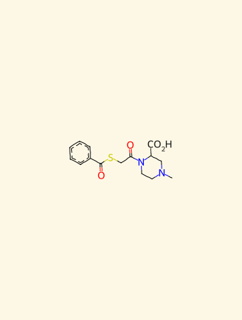 CN1CCN(C(=O)CSC(=O)c2ccccc2)C(C(=O)O)C1